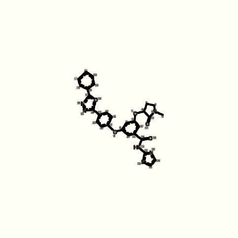 CN1CCC(Oc2cc(Oc3ccc(-c4nnc(-c5ccccc5)o4)cc3)cc(C(=O)Nc3nccs3)c2)C1=O